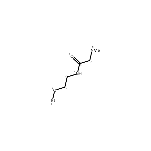 CCOCCNC(=O)CNC